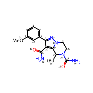 COc1cccc(-c2nn3c(c2C(N)=O)C(C(C)(C)C)N(C(N)=O)CC3)c1